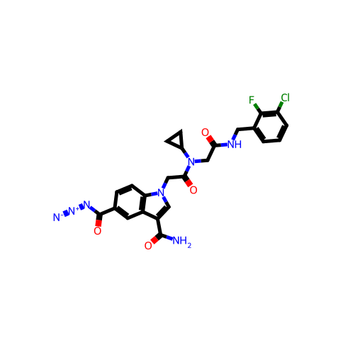 [N-]=[N+]=NC(=O)c1ccc2c(c1)c(C(N)=O)cn2CC(=O)N(CC(=O)NCc1cccc(Cl)c1F)C1CC1